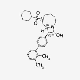 Cc1cccc(-c2ccc([C@@H]3[C@@H](O)N4CCCCN(S(=O)(=O)C5CCCCC5)C[C@@H]34)cc2)c1C